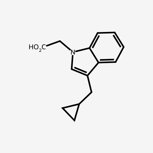 O=C(O)Cn1cc(CC2CC2)c2ccccc21